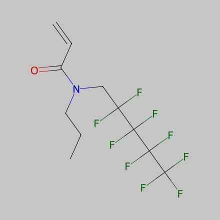 C=CC(=O)N(CCC)CC(F)(F)C(F)(F)C(F)(F)C(F)(F)F